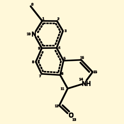 Cc1ccc2c3c(ccc2n1)C(C=O)NC=C3